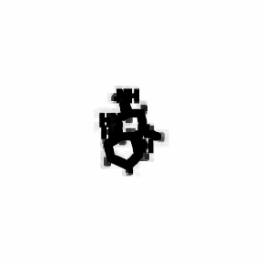 CN1CC(=N)N[C@H]2CCCC[C@@H]21